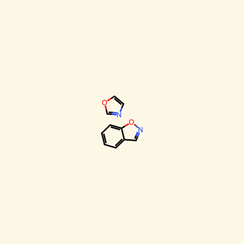 c1ccc2oncc2c1.c1cocn1